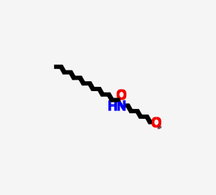 CCCCCCCCCCCCCC(=O)NCCCCCCOC